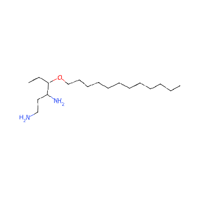 CCCCCCCCCCCCOC(CC)C(N)CCN